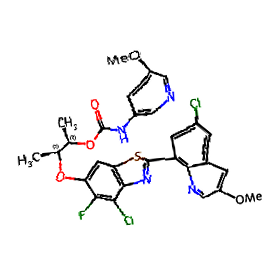 COc1cncc(NC(=O)O[C@H](C)[C@H](C)Oc2cc3sc(-c4cc(Cl)cc5cc(OC)cnc45)nc3c(Cl)c2F)c1